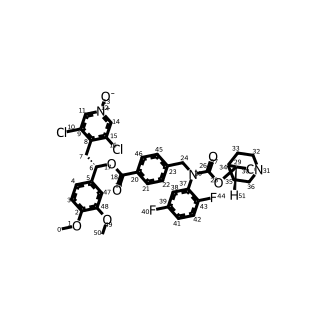 COc1ccc([C@H](Cc2c(Cl)c[n+]([O-])cc2Cl)OC(=O)c2ccc(CN(C(=O)O[C@H]3CN4CCC3CC4)c3cc(F)ccc3F)cc2)cc1OC